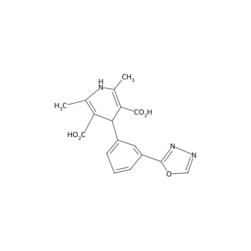 CC1=C(C(=O)O)C(c2cccc(-c3nnco3)c2)C(C(=O)O)=C(C)N1